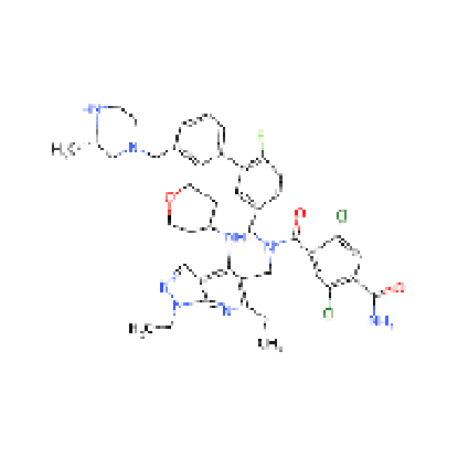 CCc1nc2c(cnn2CC)c(NC2CCOCC2)c1CN(Cc1ccc(F)c(-c2cccc(CN3CCN[C@@H](C)C3)c2)c1)C(=O)c1cc(Cl)c(C(N)=O)cc1Cl